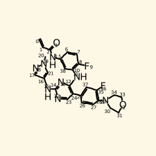 C=CC(=O)Nc1ccc(F)c(Nc2nc(Nc3cnn(C)c3)ncc2-c2ccc(N3CCOCC3)c(F)c2)c1